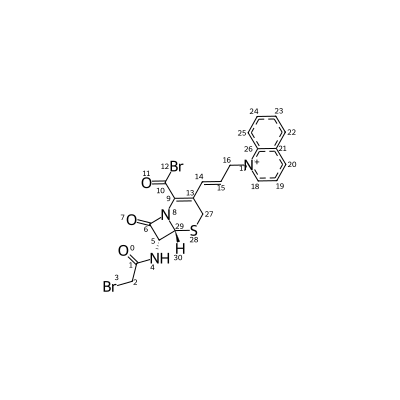 O=C(CBr)N[C@@H]1C(=O)N2C(C(=O)Br)=C(/C=C/C[n+]3cccc4ccccc43)CS[C@H]12